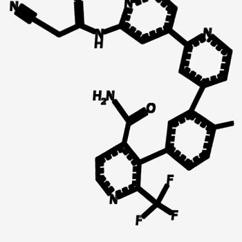 Cc1ccc(-c2c(C(N)=O)ccnc2C(F)(F)F)cc1-c1ccnc(-c2ccnc(NC(=O)CC#N)c2)c1